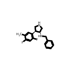 Cc1cc([C@H]2CNC[C@@H]2NCc2ccccc2)c(F)cc1F